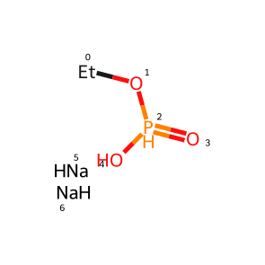 CCO[PH](=O)O.[NaH].[NaH]